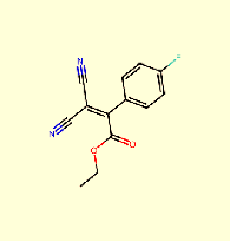 CCOC(=O)C(=C(C#N)C#N)c1ccc(F)cc1